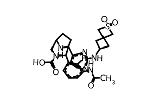 CC(=O)Nc1cccc(C2N(C(=O)O)CC3CCC2(c2ccnc(NC4CC5(C4)CS(=O)(=O)C5)n2)N3)c1F